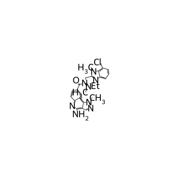 CCN(C)N(Cc1nc2cccc(Cl)c2n1C)C(=O)c1ccc2nc(N)c3cnn(C)c3c2c1